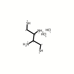 Cl.Cl.NC(CS)C(N)CS